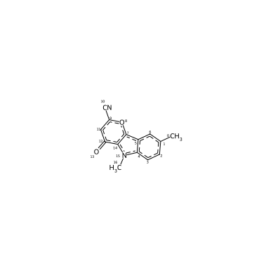 Cc1ccc2c(c1)c1oc(C#N)cc(=O)c1n2C